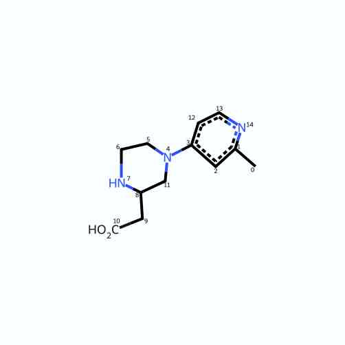 Cc1cc(N2CCNC(CC(=O)O)C2)ccn1